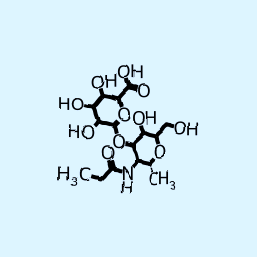 CCC(=O)NC1C(OC2OC(C(=O)O)C(O)C(O)C2O)C(O)C(CO)O[C@@H]1C